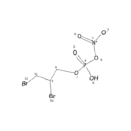 O=[N+]([O-])OP(=O)(O)OCC(Br)CBr